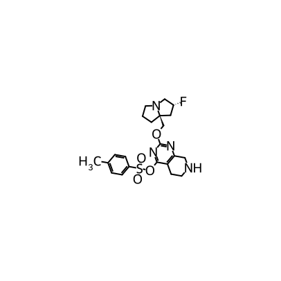 Cc1ccc(S(=O)(=O)Oc2nc(OC[C@@]34CCCN3C[C@H](F)C4)nc3c2CCNC3)cc1